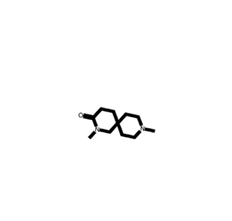 CN1CCC2(CCC(=O)N(C)C2)CC1